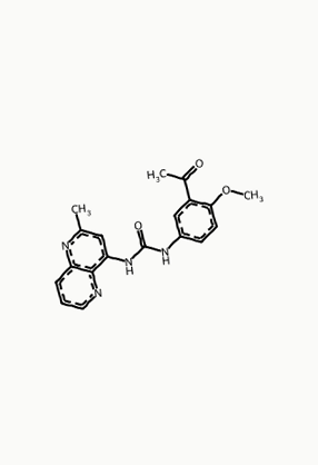 COc1ccc(NC(=O)Nc2cc(C)nc3cccnc23)cc1C(C)=O